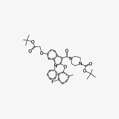 Cc1ccc(F)cc1Oc1c(C(=O)N2CCN(C(=O)OC(C)(C)C)CC2)c2ccc(OCC(=O)OC(C)(C)C)cc2n1-c1ccccc1